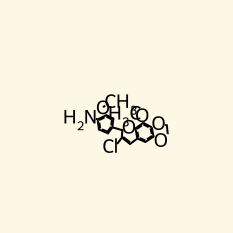 COc1cc(C(=O)/C(Cl)=C\c2cc(OC)c3c(c2)OCCO3)ccc1N